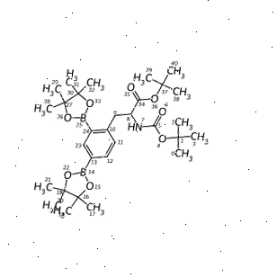 CC(C)(C)OC(=O)NC(Cc1ccc(B2OC(C)(C)C(C)(C)O2)cc1B1OC(C)(C)C(C)(C)O1)C(=O)OC(C)(C)C